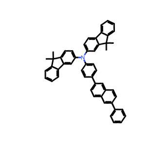 CC1(C)c2ccccc2-c2cc(N(c3ccc(-c4ccc5cc(-c6ccccc6)ccc5c4)cc3)c3ccc4c(c3)C(C)(C)c3ccccc3-4)ccc21